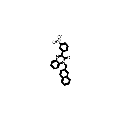 O=c1c(-c2cccc([N+](=O)[O-])c2)nc2ccccc2n1Cc1ccc2ccccc2c1